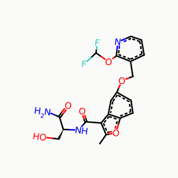 Cc1oc2ccc(OCc3cccnc3OC(F)F)cc2c1C(=O)N[C@@H](CO)C(N)=O